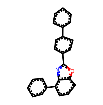 c1ccc(-c2ccc(-c3nc4c(-c5ccccc5)cccc4o3)cc2)cc1